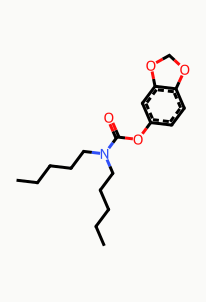 CCCCCN(CCCCC)C(=O)Oc1ccc2c(c1)OCO2